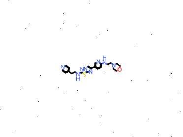 c1cc(CCNc2nn3cc(-c4ccc(NCCN5CCOCC5)nc4)nc3s2)ccn1